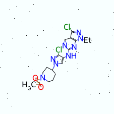 CCn1nc(Cl)c2cnc(Nc3cn(C4CCCN(S(C)(=O)=O)CC4)nc3Cl)nc21